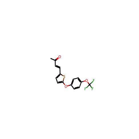 CC(=O)/C=C/c1ccc(Oc2ccc(OC(F)(F)F)cc2)s1